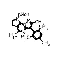 CCCCCCCCCN1CCc2c(C)nc3c(-c4c(C)cc(C)cc4C)c(C)nn3c21